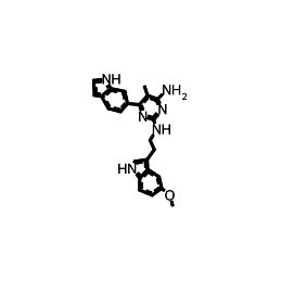 COc1ccc2[nH]cc(CCNc3nc(N)c(C)c(-c4ccc5cc[nH]c5c4)n3)c2c1